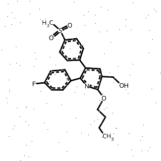 CCCCOc1nc(-c2ccc(F)cc2)c(-c2ccc(S(C)(=O)=O)cc2)cc1CO